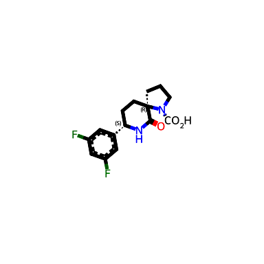 O=C(O)N1CCC[C@]12CC[C@@H](c1cc(F)cc(F)c1)NC2=O